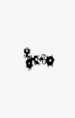 O=C(Oc1ccccc1)N1CCC(c2nn(C(=O)c3ccncc3)c3ccccc23)CC1